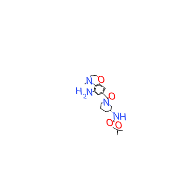 CN1CCOc2cc(C(=O)N3CCC[C@@H](NC(=O)OC(C)(C)C)C3)cc(N)c21